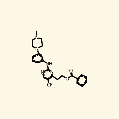 CN1CCN(c2cccc(Nc3ncc(C(F)(F)F)c(CCOC(=O)c4ccccc4)n3)c2)CC1